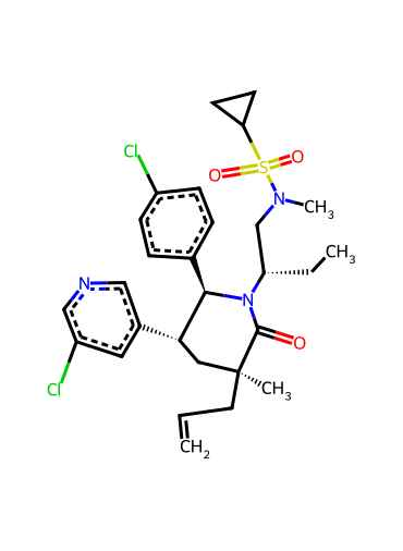 C=CC[C@@]1(C)C[C@H](c2cncc(Cl)c2)[C@@H](c2ccc(Cl)cc2)N([C@@H](CC)CN(C)S(=O)(=O)C2CC2)C1=O